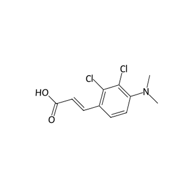 CN(C)c1ccc(/C=C/C(=O)O)c(Cl)c1Cl